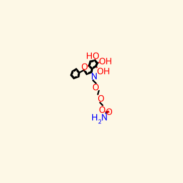 NC(=O)OCCOCCOCCN=c1cc(-c2ccccc2)oc2cc(O)c(O)c(O)c12